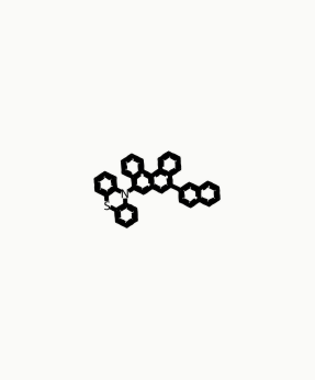 c1ccc2c(c1)Sc1ccccc1N2c1cc2cc(-c3ccc4ccccc4c3)c3ccccc3c2c2ccccc12